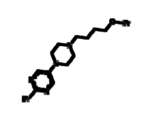 CC(C)OCCCCN1CCN(c2cnc(C(C)C)nc2)CC1